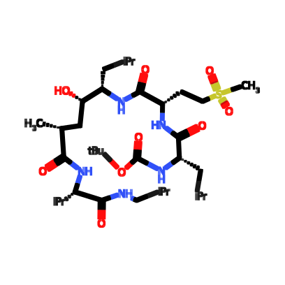 CC(C)CNC(=O)[C@@H](NC(=O)[C@H](C)C[C@H](O)[C@H](CC(C)C)NC(=O)[C@H](CCS(C)(=O)=O)NC(=O)[C@H](CC(C)C)NC(=O)OC(C)(C)C)C(C)C